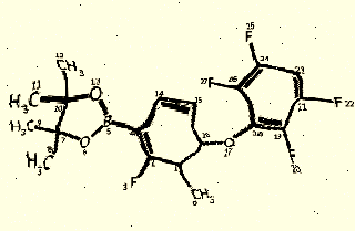 CC1C(F)=C(B2OC(C)(C)C(C)(C)O2)C=CC1Oc1c(F)c(F)cc(F)c1F